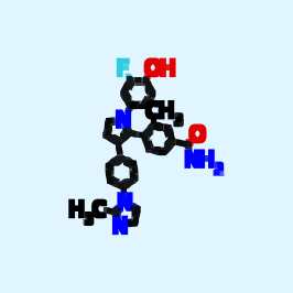 Cc1cc(C(N)=O)ccc1-c1c(-c2ccc(-n3ccnc3C)cc2)ccn1-c1ccc(O)c(F)c1